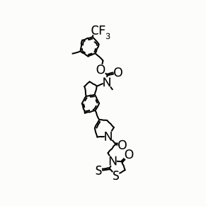 Cc1cc(COC(=O)N(C)C2CCc3ccc(C4=CCN(C(=O)CN5C(=O)CSC5=S)CC4)cc32)cc(C(F)(F)F)c1